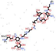 COC(CNC(C)C)C(O)C(O)C(O)OC1C(N)CC(NC(=O)C(O)CCNCC(O)CON(C)COC(C)(C)CC(O)CN2CC3OOC(OC4C(N)CC(NC(=O)C(O)CCNC(C)C)C(OC5CC(CO)C(O)C2C5O)C4O)C(O)C3O)C(OC2OC(CO)C(O)C(N)C2O)C1O